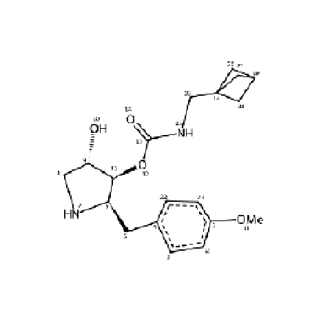 COc1ccc(C[C@H]2NC[C@H](O)[C@H]2OC(=O)NCC23CC(C2)C3)cc1